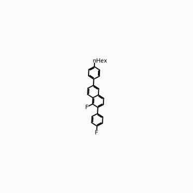 CCCCCCc1ccc(-c2ccc3c(F)c(-c4ccc(F)cc4)ccc3c2)cc1